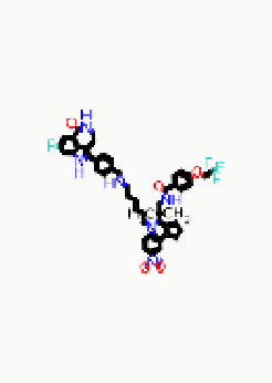 CC(C)(CNC(=O)c1ccc(OCC(F)(F)F)cc1)C1C2CCCC2c2cc([N+](=O)[O-])ccc2N1CCCCCCNCc1ccc(-c2[nH]c3cc(F)cc4c3c2CCNC4=O)cc1